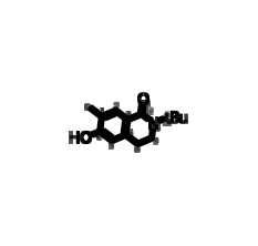 Cc1cc2c(cc1O)CCN(C(C)(C)C)C2=O